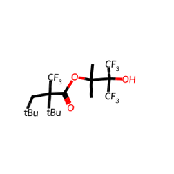 CC(C)(C)CC(C(=O)OC(C)(C)C(O)(C(F)(F)F)C(F)(F)F)(C(C)(C)C)C(F)(F)F